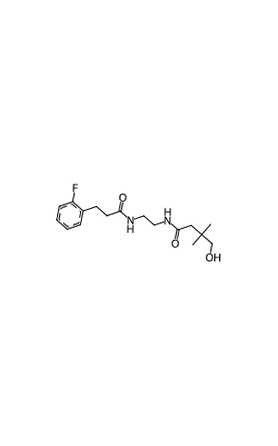 CC(C)(CO)CC(=O)NCCNC(=O)CCc1ccccc1F